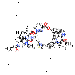 C=CC(=O)N1C[C@@H](N(C)C(=O)N(C)[C@H](C(=O)N[C@H]2Cc3nc(cs3)-c3ccc4c(c3)c(c(-c3cccnc3[C@H](C)OC)n4CC)CC(C)(C)COC(=O)[C@@H]3CCCN(N3)C2=O)C(C)C)[C@@H](C)C1